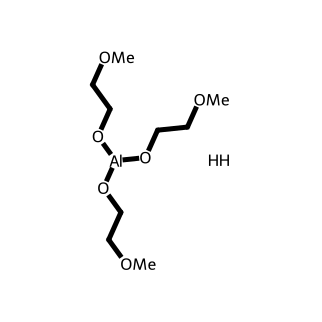 COCC[O][Al]([O]CCOC)[O]CCOC.[HH]